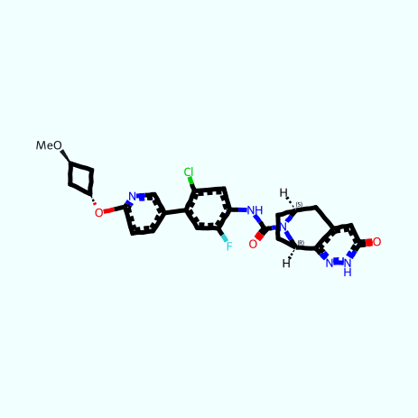 CO[C@H]1C[C@H](Oc2ccc(-c3cc(F)c(NC(=O)N4[C@H]5CC[C@@H]4c4n[nH]c(=O)cc4C5)cc3Cl)cn2)C1